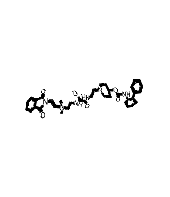 C[N+](C)(CCNC(=O)C(=O)NCCN1CCC(OC(=O)Nc2ccccc2-c2ccccc2)CC1)CCN1C(=O)c2ccccc2C1=O